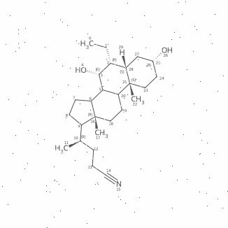 CC[C@H]1[C@@H](O)C2C3CCC([C@H](C)CCC#N)[C@@]3(C)CCC2[C@@]2(C)CC[C@@H](O)C[C@@H]12